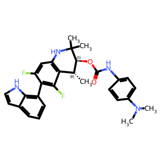 C[C@@H]1c2c(cc(F)c(-c3cccc4cc[nH]c34)c2F)NC(C)(C)[C@H]1OC(=O)Nc1ccc(N(C)C)cc1